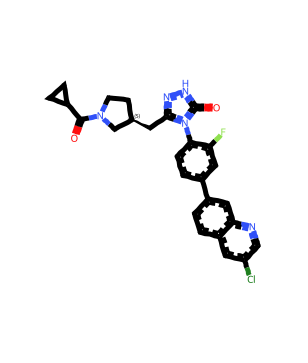 O=C(C1CC1)N1CC[C@@H](Cc2n[nH]c(=O)n2-c2ccc(-c3ccc4cc(Cl)cnc4c3)cc2F)C1